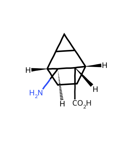 N[C@@H]1[C@@H](C(=O)O)[C@H]2CC[C@@H]1C1CC12